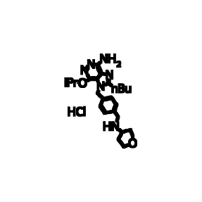 CCCCc1nc2c(N)nnc(OC(C)C)c2n1Cc1ccc(CNC2CCOCC2)cc1.Cl